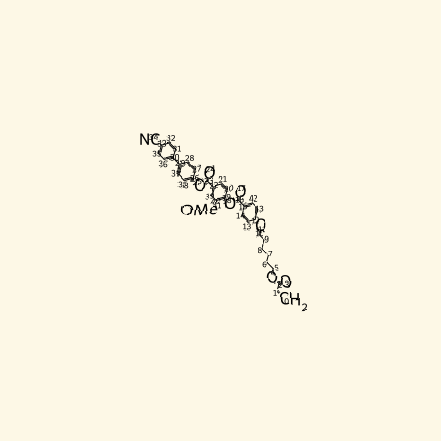 C=CC(=O)OCCCCCCOc1ccc(C(=O)Oc2ccc(C(=O)Oc3ccc(-c4ccc(C#N)cc4)cc3)cc2OC)cc1